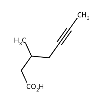 CC#CCC(C)CC(=O)O